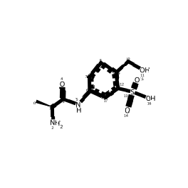 C[C@H](N)C(=O)Nc1ccc(CO)c(S(=O)(=O)O)c1